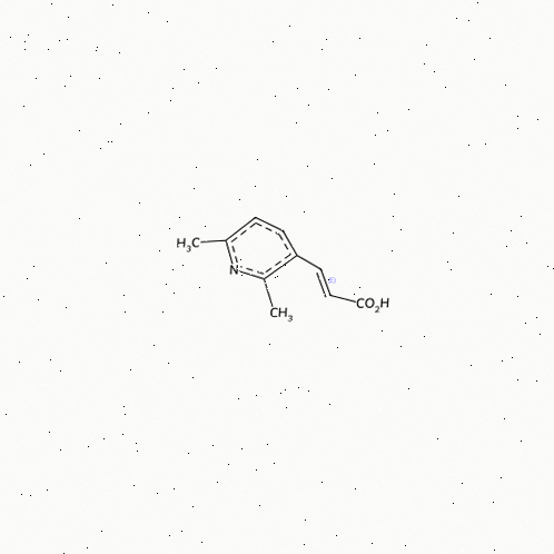 Cc1ccc(/C=C/C(=O)O)c(C)n1